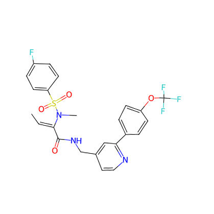 CC=C(C(=O)NCc1ccnc(-c2ccc(OC(F)(F)F)cc2)c1)N(C)S(=O)(=O)c1ccc(F)cc1